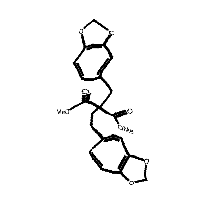 COC(=O)C(Cc1ccc2c(c1)OCO2)(Cc1ccc2c(c1)OCO2)C(=O)OC